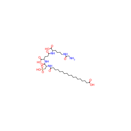 NCC(=O)NCCCCC(NC(=O)CCC(NC(=O)C(CS(=O)(=O)O)NC(=O)CCCCCCCCCCCCCCCCC(=O)O)C(=O)O)C(=O)O